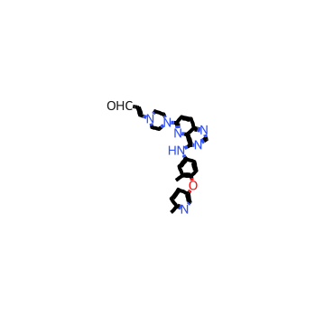 Cc1ccc(Oc2ccc(Nc3ncnc4ccc(N5CCN(C=CC=O)CC5)nc34)cc2C)cn1